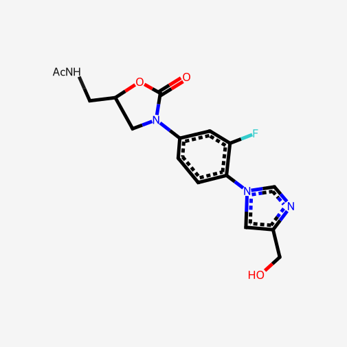 CC(=O)NCC1CN(c2ccc(-n3cnc(CO)c3)c(F)c2)C(=O)O1